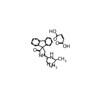 CCC(CCC1(C(N)=O)c2ccccc2-c2ccccc21)NC(C)C.O=C(O)/C=C\C(=O)O